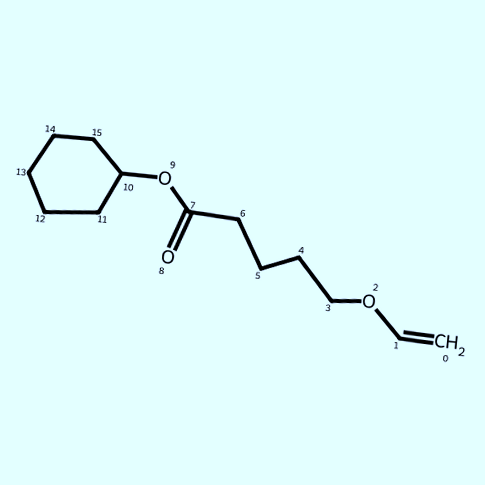 C=COCCCCC(=O)OC1CCCCC1